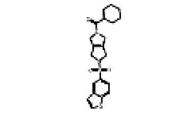 O=C(C1CCCCC1)N1CC2=C(C1)CN(S(=O)(=O)c1ccc3occc3c1)C2